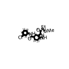 CCN(OC)C(=O)c1n[nH]c2c1CC(C(=O)Nc1cccc(Cl)c1)CC2